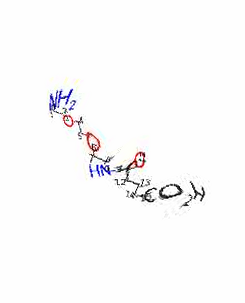 NCCOCCOCCNC(=O)CCCC(=O)O